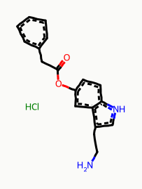 Cl.NCCc1c[nH]c2ccc(OC(=O)Cc3ccccc3)cc12